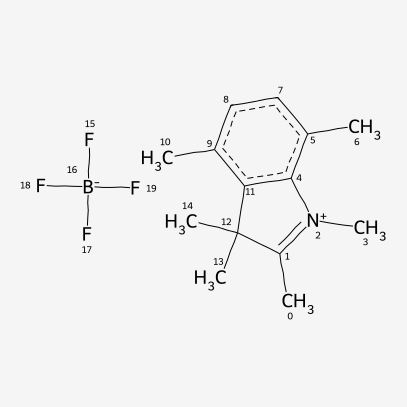 CC1=[N+](C)c2c(C)ccc(C)c2C1(C)C.F[B-](F)(F)F